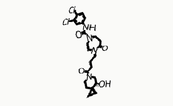 O=C1CCN(C(=O)Nc2ccc(Cl)c(Cl)c2)CCN1CCCC(=O)N1CCC2(CC2)[C@H](O)C1